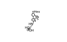 CCCCCCc1ccc(-c2ccc(CNCCCP(=O)(O)O)nc2-c2nccs2)cc1